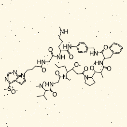 CCCC(C(CC(=O)N1CCCC1C(OC)C(C)C(=O)NC(Cc1ccccc1)C(=O)NCc1ccc(NC(=O)C(CCCNC)NC(=O)CNC(=O)CCCn2ccc3c([S+](C)[O-])ncnc32)cc1)OC)N(C)C(=O)CNC(=O)C(C(C)C)N(C)C